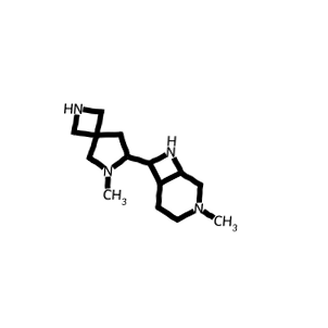 CN1CCC2C(C1)NC2C1CC2(CNC2)CN1C